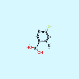 OB(O)c1ccc(S)cc1.[B]